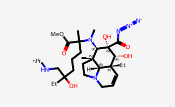 CCCNCC(O)(CC)CCCC(C)(C(=O)OC)N(C)[C@@H]1[C@@]2(C)CCN3CC=C[C@](CC)([C@H]32)[C@@H](O)[C@]1(O)C(=O)N=[N+]=[N-]